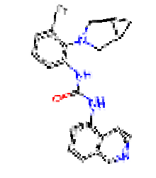 CC(C)c1cccc(NC(=O)Nc2cccc3cnccc23)c1N1CC2CC2C1